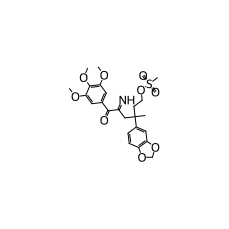 COc1cc(C(=O)C(=N)CC(C)(CCOS(C)(=O)=O)c2ccc3c(c2)OCO3)cc(OC)c1OC